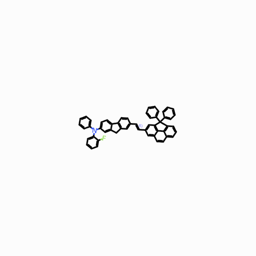 Fc1ccccc1N(c1ccccc1)c1ccc2c(c1)Cc1cc(/C=C/c3cc4c5c(ccc6cccc(c65)C4(c4ccccc4)c4ccccc4)c3)ccc1-2